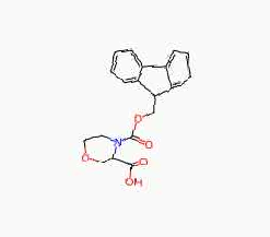 O=C(O)C1COCCN1C(=O)OCC1c2ccccc2-c2ccccc21